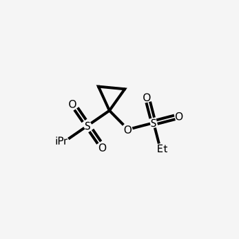 CCS(=O)(=O)OC1(S(=O)(=O)C(C)C)CC1